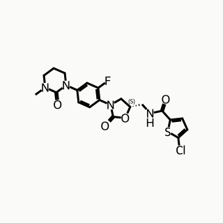 CN1CCCN(c2ccc(N3C[C@H](CNC(=O)c4ccc(Cl)s4)OC3=O)c(F)c2)C1=O